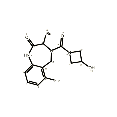 CCC(C)C1C(=O)Nc2cccc(F)c2CN1C(=O)N1CC(O)C1